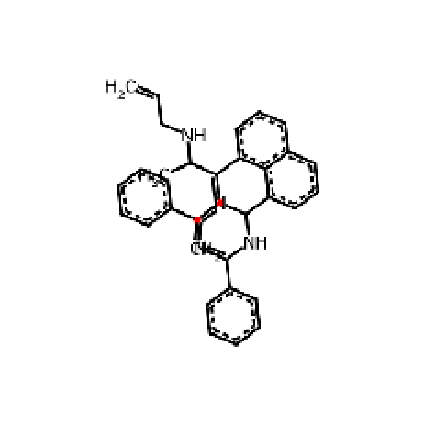 C=C/C=C(/c1cccc2cccc(C3N=C(c4ccccc4)N=C(c4ccccc4)N3)c12)C(C)NCC=C